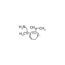 CC[C@H]1/C=C\CC=C=C([C@@H](C)CN)[C@@H]1C